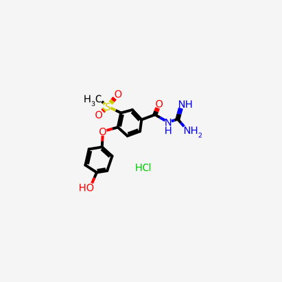 CS(=O)(=O)c1cc(C(=O)NC(=N)N)ccc1Oc1ccc(O)cc1.Cl